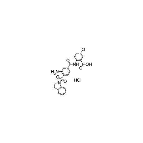 Cl.Nc1cc(C(=O)Nc2ccc(Cl)cc2C(=O)O)ccc1S(=O)(=O)N1CCc2ccccc21